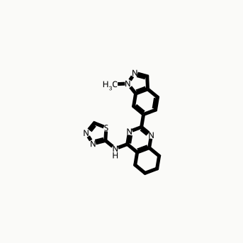 Cn1ncc2ccc(-c3nc4c(c(Nc5nncs5)n3)CCCC4)cc21